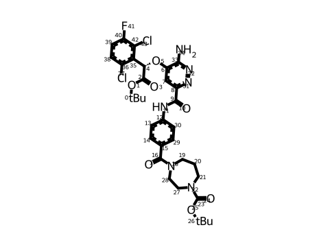 CC(C)(C)OC(=O)[C@@H](Oc1cc(C(=O)Nc2ccc(C(=O)N3CCCN(C(=O)OC(C)(C)C)CC3)cc2)nnc1N)c1c(Cl)ccc(F)c1Cl